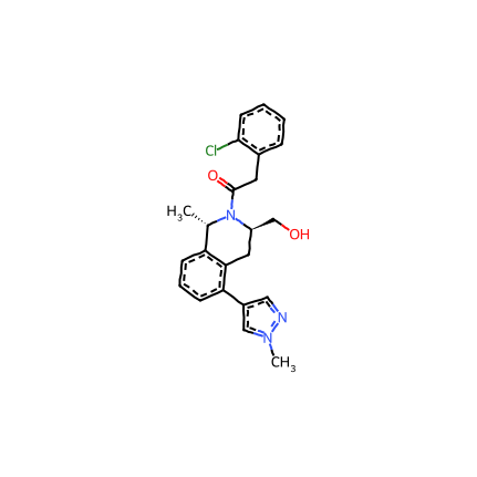 C[C@H]1c2cccc(-c3cnn(C)c3)c2C[C@H](CO)N1C(=O)Cc1ccccc1Cl